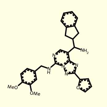 COc1ccc(CNc2ncc(C(N)C3Cc4ccccc4C3)c3nc(-c4ccco4)nn23)cc1OC